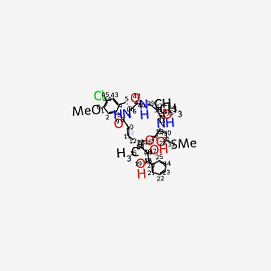 COc1ccc(C[C@H]2NC(=O)/C=C/C[C@@H]([C@H](C)[C@@H](O)[C@H](O)c3ccccc3)OC(=O)[C@H](CCSC)NC(=O)C(C)(C)CNC2=O)cc1Cl